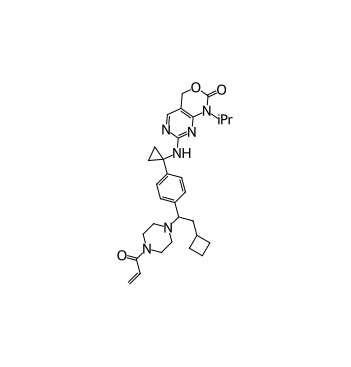 C=CC(=O)N1CCN(C(CC2CCC2)c2ccc(C3(Nc4ncc5c(n4)N(C(C)C)C(=O)OC5)CC3)cc2)CC1